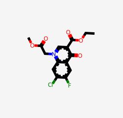 CCOC(=O)c1cn(CC(=O)OC)c2cc(Cl)c(F)cc2c1=O